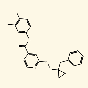 O=C(Nc1ccc(F)c(Cl)c1)c1ccnc(NSC2(Cc3ccccc3)CC2)c1